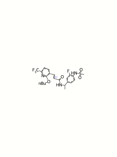 CCCCOc1nc(C(F)(F)F)ccc1/C=C/C(=O)NC(C)c1ccc(NS(C)(=O)=O)c(F)c1